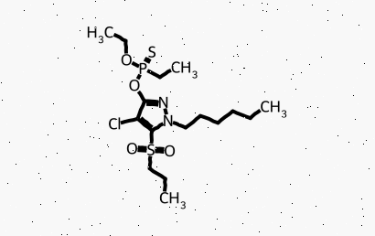 CCCCCCn1nc(OP(=S)(CC)OCC)c(Cl)c1S(=O)(=O)CCC